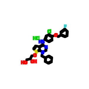 Cl.OC[C@@H](O)COS1=C2C(=C(Nc3ccc(OCc4cccc(F)c4)c(Cl)c3)N=CN2Cc2ccccc2)C=C1